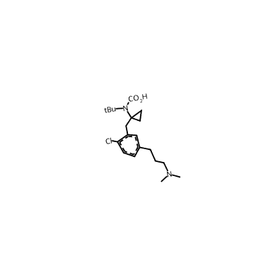 CN(C)CCCc1ccc(Cl)c(CC2(N(C(=O)O)C(C)(C)C)CC2)c1